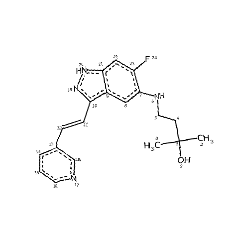 CC(C)(O)CCNc1cc2c(C=Cc3cccnc3)n[nH]c2cc1F